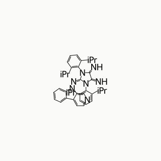 CC(C)c1cccc(C(C)C)c1N1C(=N)C(=N)N(c2c(C(C)C)cccc2C(C)C)C1=Nn1c2ccccc2c2ccncc21